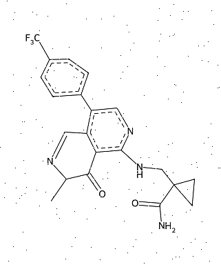 CC1N=Cc2c(-c3ccc(C(F)(F)F)cc3)cnc(NCC3(C(N)=O)CC3)c2C1=O